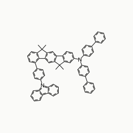 CC1(C)c2cc(N(c3ccc(-c4ccccc4)cc3)c3ccc(-c4ccccc4)cc3)ccc2-c2cc3c(cc21)-c1c(-c2ccc(-n4c5ccccc5c5ccccc54)cc2)cccc1C3(C)C